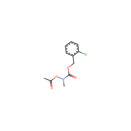 CC(=O)ON(C)C(=O)OCc1ccccc1Cl